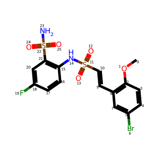 COc1ccc(Br)cc1C=CS(=O)(=O)Nc1ccc(F)cc1S(N)(=O)=O